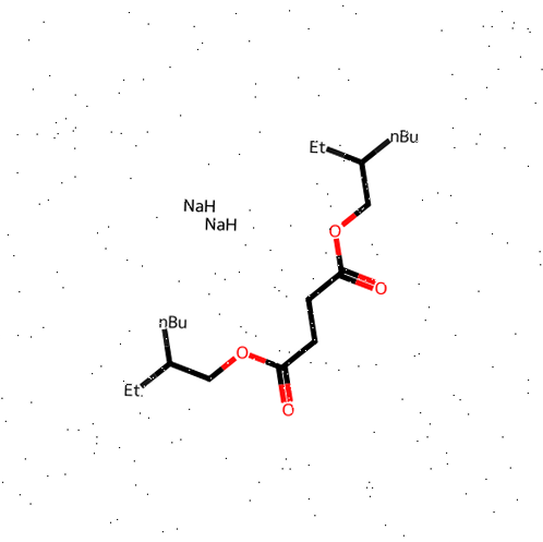 CCCCC(CC)COC(=O)CCC(=O)OCC(CC)CCCC.[NaH].[NaH]